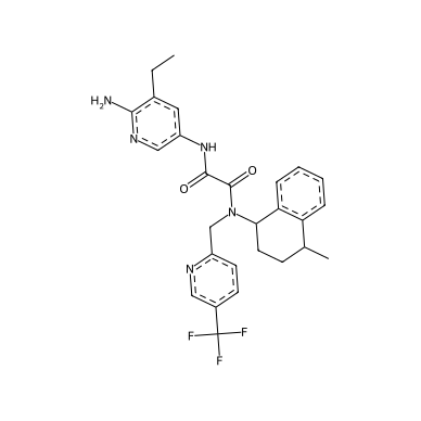 CCc1cc(NC(=O)C(=O)N(Cc2ccc(C(F)(F)F)cn2)C2CCC(C)c3ccccc32)cnc1N